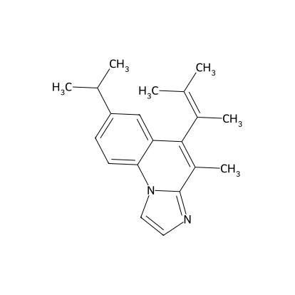 CC(C)=C(C)c1c(C)c2nccn2c2ccc(C(C)C)cc12